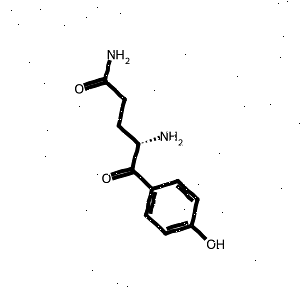 NC(=O)CC[C@H](N)C(=O)c1ccc(O)cc1